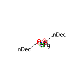 CCCCCCCCCCCCCCCCCCCCCC(=O)OCC[N+](C)(C)CCOC(=O)CCCCCCCCCCCCCCCCCCCCC.[Cl-]